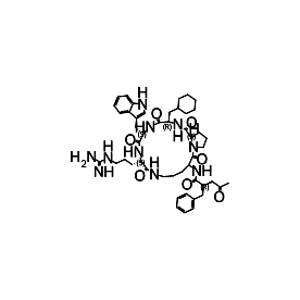 CC(=O)C[C@@H](Cc1ccccc1)C(=O)NC1CCCNC(=O)[C@H](CCCNC(=N)N)NC(=O)[C@H](Cc2c[nH]c3ccccc23)NC(=O)[C@@H](CC2CCCCC2)NC(=O)[C@@H]2CCCN2C1=O